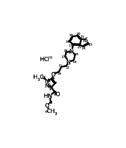 COCNC(=O)c1cc(OCCCN2CCN(c3cccc4sccc34)CC2)n(C)n1.Cl